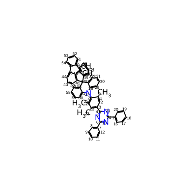 Cc1cc(-c2nc(-c3ccccc3)nc(-c3ccccc3)n2)c(C)c(C)c1N1c2ccccc2C(c2ccccc2)(c2cccc3c2C(C)(C)c2ccccc2-3)c2ccccc21